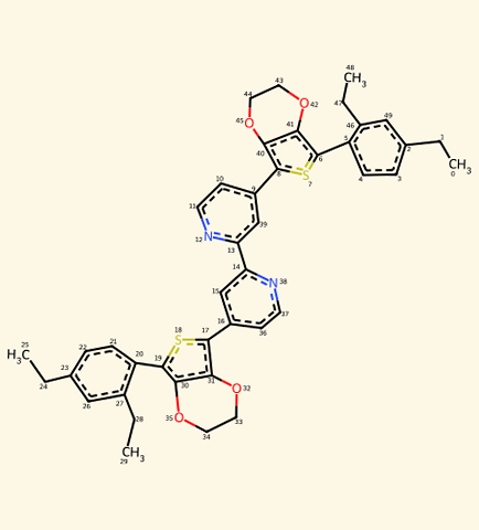 CCc1ccc(-c2sc(-c3ccnc(-c4cc(-c5sc(-c6ccc(CC)cc6CC)c6c5OCCO6)ccn4)c3)c3c2OCCO3)c(CC)c1